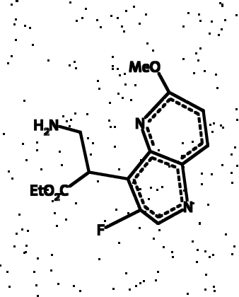 CCOC(=O)C(CN)c1c(F)cnc2ccc(OC)nc12